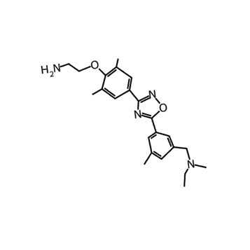 CCN(C)Cc1cc(C)cc(-c2nc(-c3cc(C)c(OCCN)c(C)c3)no2)c1